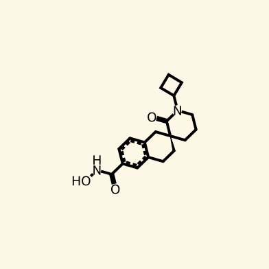 O=C(NO)c1ccc2c(c1)CC[C@@]1(CCCN(C3CCC3)C1=O)C2